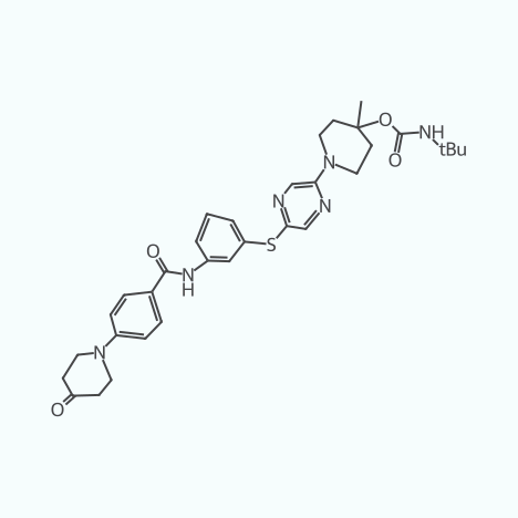 CC(C)(C)NC(=O)OC1(C)CCN(c2cnc(Sc3cccc(NC(=O)c4ccc(N5CCC(=O)CC5)cc4)c3)cn2)CC1